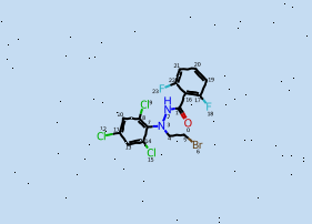 O=C(NN(CCBr)c1c(Cl)cc(Cl)cc1Cl)c1c(F)cccc1F